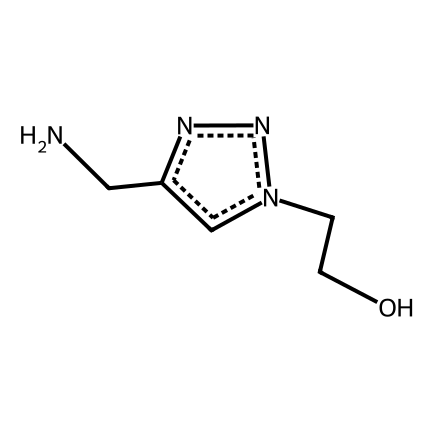 NCc1cn(CCO)nn1